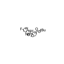 CC(C)(C)OC(=O)N1CCO[C@@H](C(=O)Nc2ncc(F)cc2N)C1